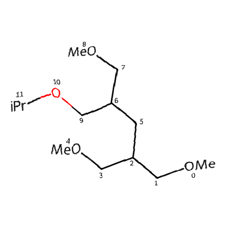 COCC(COC)CC(COC)COC(C)C